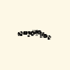 CN1CCN(c2ccc(NC(=O)c3ccc(-c4nc5cc(NC(=O)c6ccc(N7CCOCC7)cc6)ccc5[nH]4)cc3)cc2)CC1